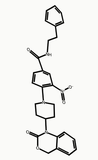 O=C(NCCc1ccccc1)c1ccc(N2CCC(N3C(=O)OCc4ccccc43)CC2)c([N+](=O)[O-])c1